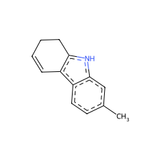 Cc1ccc2c3c([nH]c2c1)CCC=C3